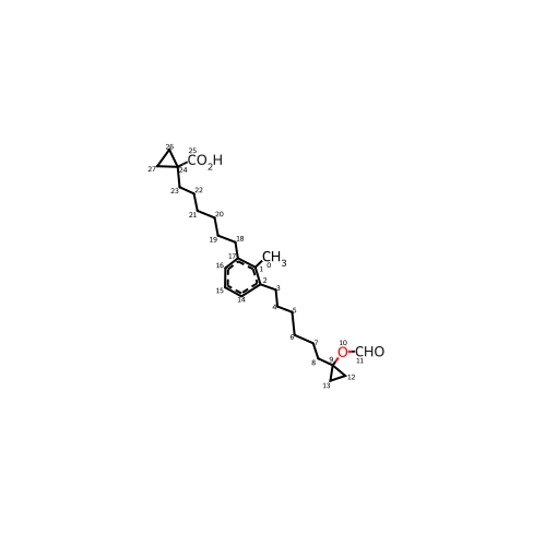 Cc1c(CCCCCCC2(OC=O)CC2)cccc1CCCCCCC1(C(=O)O)CC1